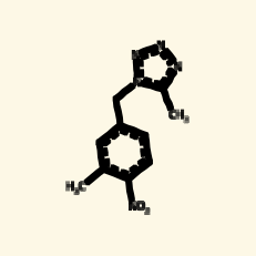 Cc1cc(Cn2nnnc2C)ccc1[N+](=O)[O-]